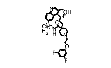 COc1ccc2ncc(CO)c([C@H](F)CCC3(C(=O)NO)CCN(CCOc4cc(F)cc(F)c4)CC3)c2c1